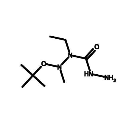 CCN(C(=O)NN)N(C)OC(C)(C)C